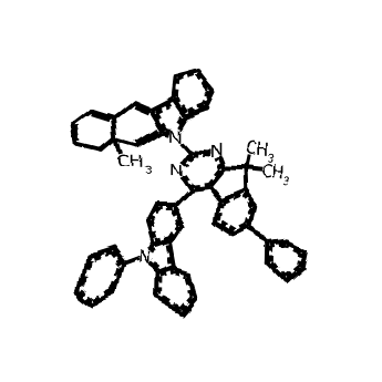 CC12C=c3c(c4ccccc4n3-c3nc(-c4ccc5c(c4)c4ccccc4n5-c4ccccc4)c4c(n3)C(C)(C)c3cc(-c5ccccc5)ccc3-4)=CC1=CC=CC2